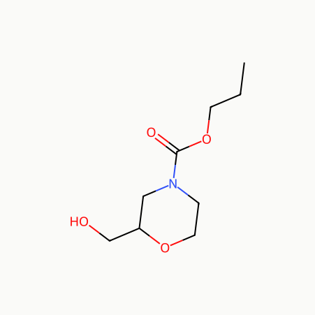 CCCOC(=O)N1CCOC(CO)C1